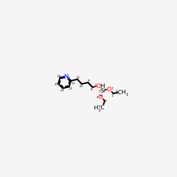 CCO[SiH](OCC)OCCCCc1ccccn1